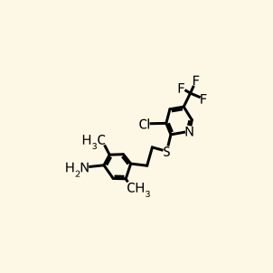 Cc1cc(CCSc2ncc(C(F)(F)F)cc2Cl)c(C)cc1N